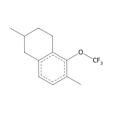 Cc1ccc2c(c1OC(F)(F)F)CCC(C)C2